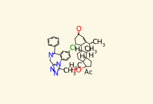 CC(=O)[C@@]1(O)CC[C@H]2[C@@H]3C[C@H](C)C4=CC(=O)CC[C@]4(C)[C@H]3CC[C@@]21C.Cc1nnc2n1-c1ccc(Cl)cc1C(c1ccccc1)=NC2